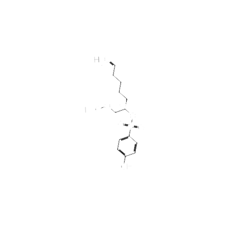 C=CCCCC[C@H](COC)OS(=O)(=O)c1ccc(C)cc1